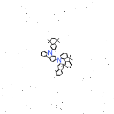 CC1(C)CCC(C)(C)c2cc(-n3c4ccccc4c4ccc(N(c5ccc6ccccc6c5)c5cccc6c5-c5ccccc5C6(C)C)cc43)ccc21